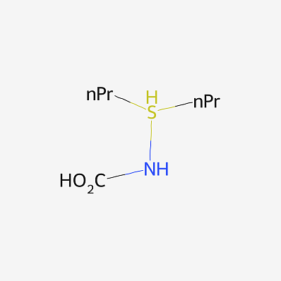 CCC[SH](CCC)NC(=O)O